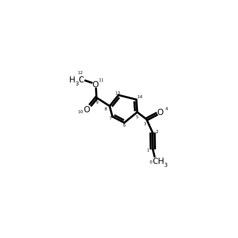 CC#CC(=O)c1ccc(C(=O)OC)cc1